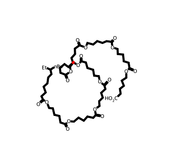 CCCCC(CC)CCCCCCC(=O)OCCCCCC(=O)OCCCCCC(=O)OCCCCCC(=O)OCCCCCC(=O)OCCCCCC(=O)OCCCCCC(=O)OCCCCCC(=O)OCCCCCC(=O)OCCCCCC(=O)O